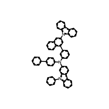 c1ccc(-c2ccc(N(c3cccc(-c4cc(-n5c6ccccc6c6ccccc65)cc5ccccc45)c3)c3ccc4c5ccccc5n(-c5ccccc5)c4c3)cc2)cc1